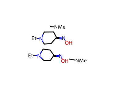 CCN1CCC(=NO)CC1.CCN1CCC(=NO)CC1.CNC.CNC